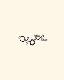 COP(=O)(CC(=O)c1cccc(S(=O)(=O)N2CCOCC2)c1)OC